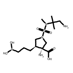 CN(C(C)(C)CN)S(=O)(=O)N1C[C@H](CCCB(O)O)[C@](N)(C(=O)O)C1